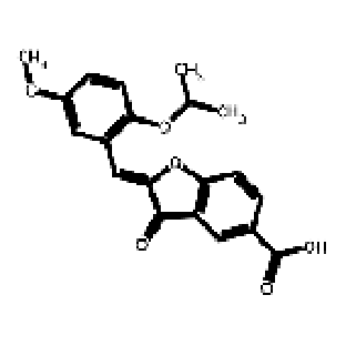 COc1ccc(OC(C)C)c(C=C2Oc3ccc(C(=O)O)cc3C2=O)c1